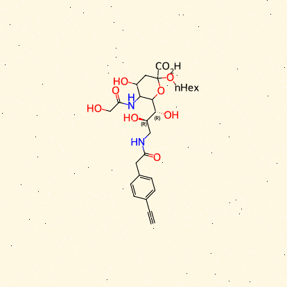 C#Cc1ccc(CC(=O)NC[C@@H](O)[C@@H](O)C2OC(OCCCCCC)(C(=O)O)CC(O)C2NC(=O)CO)cc1